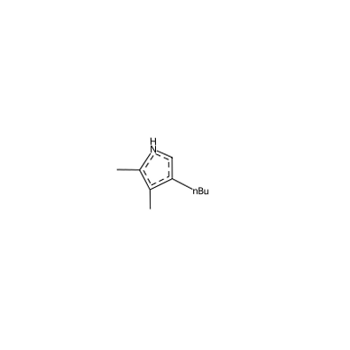 CCCCc1c[nH]c(C)c1C